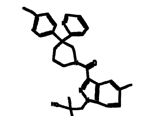 Cc1ccc(C2(c3ccccn3)CCCN(C(=O)c3nn(CC(C)(C)O)c4ccc(C)cc34)C2)cc1